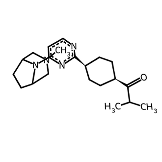 CC(C)C(=O)[C@H]1CC[C@@H](c2nccc(N3C4CCC3CN(C)C4)n2)CC1